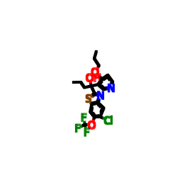 CCCOc1ccncc1C(O)(CCC)c1nc2cc(Cl)c(OC(F)(F)F)cc2s1